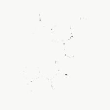 CSCC[C@H](NC(=O)[C@@H](N)C(C)C)C(=O)N[C@@H](C)C(=O)N1CCC[C@H]1C(=O)O